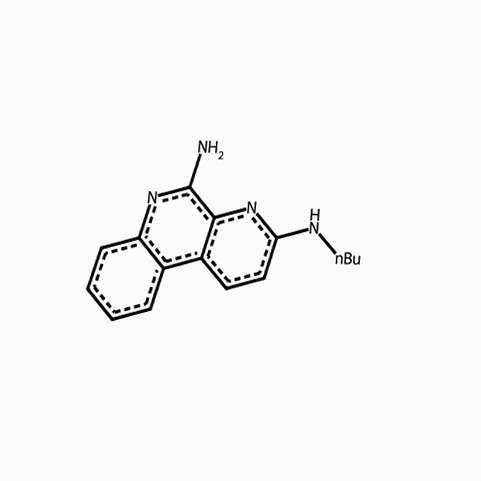 CCCCNc1ccc2c(n1)c(N)nc1ccccc12